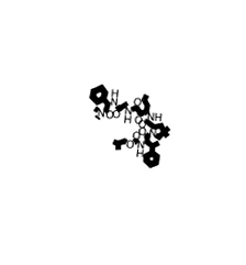 CCCC(NC(=O)C1CC(C)(C)CN1C(=O)[C@@H](NC(=O)OCC(C)C)C(C)c1ccccc1)C(=O)C(=O)NCC(=O)N[C@H](C(=O)N(C)C)c1ccccc1